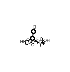 O=C(O)C(F)(F)F.O=C1c2c(cc(-c3ccc(Cl)cc3)cc2C(F)(F)F)[C@@H]2CNCCN12